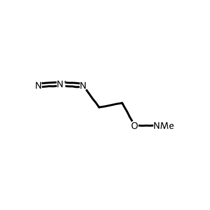 CNOCCN=[N+]=[N-]